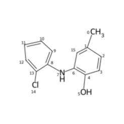 Cc1ccc(O)c(Nc2ccccc2Cl)c1